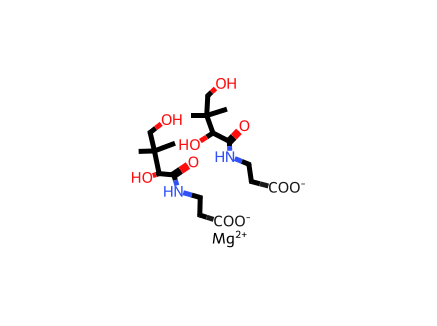 CC(C)(CO)C(O)C(=O)NCCC(=O)[O-].CC(C)(CO)C(O)C(=O)NCCC(=O)[O-].[Mg+2]